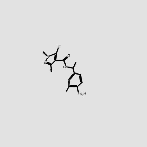 Cc1cc(C(C)NC(=O)c2c(C)nn(C)c2Cl)ccc1C(=O)O